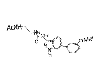 COc1cccc(-c2ccc3c(NC(=O)NCCNC(C)=O)n[nH]c3c2)c1